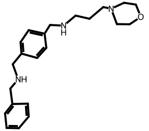 c1ccc(CNCc2ccc(CNCCCN3CCOCC3)cc2)cc1